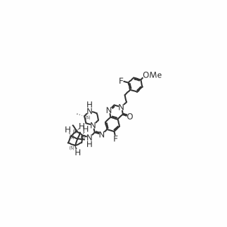 COc1ccc(CCn2cnc3cc(N=C(N[C@H]4C[C@@H]5C[C@@H]([C@H]4C)C5(C)C)N4CCN[C@@H](C)C4)c(F)cc3c2=O)c(F)c1